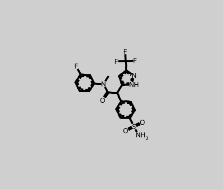 CN(C(=O)C(c1ccc(S(N)(=O)=O)cc1)c1cc(C(F)(F)F)n[nH]1)c1cccc(F)c1